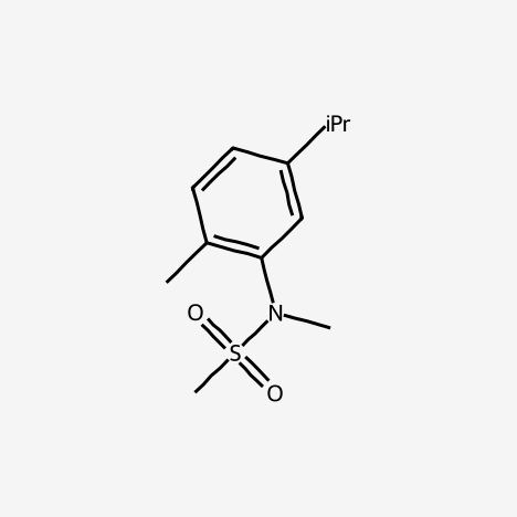 Cc1ccc(C(C)C)cc1N(C)S(C)(=O)=O